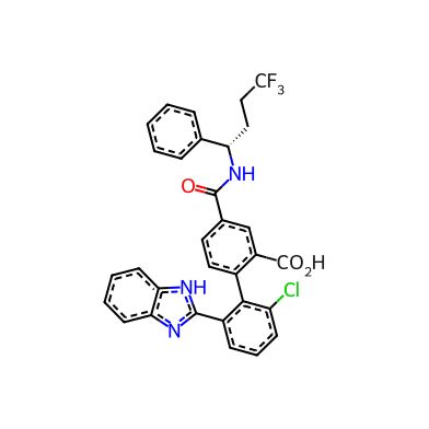 O=C(N[C@@H](CCC(F)(F)F)c1ccccc1)c1ccc(-c2c(Cl)cccc2-c2nc3ccccc3[nH]2)c(C(=O)O)c1